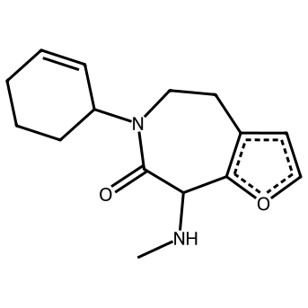 CNC1C(=O)N(C2C=CCCC2)CCc2ccoc21